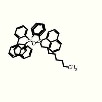 CCCCCCCC[Si](O[Si](c1ccccc1)(c1ccccc1)c1ccccc1-c1cccc2ccccc12)(c1ccccc1)c1cccc2ccccc12